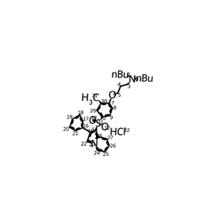 CCCCN(CCCC)CCCOc1ccc(S(=O)(=O)c2c(-c3ccccc3)cn3ccccc23)cc1C.Cl